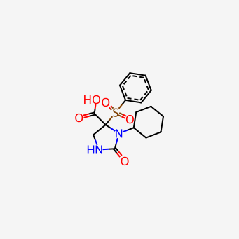 O=C1NCC(C(=O)O)(S(=O)(=O)c2ccccc2)N1C1CCCCC1